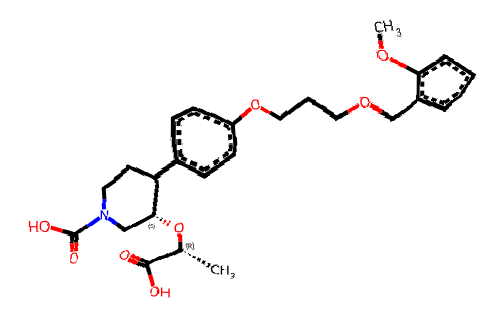 COc1ccccc1COCCCOc1ccc(C2CCN(C(=O)O)C[C@H]2O[C@H](C)C(=O)O)cc1